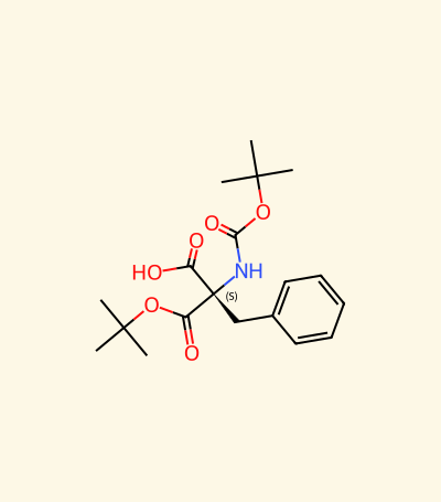 CC(C)(C)OC(=O)N[C@@](Cc1ccccc1)(C(=O)O)C(=O)OC(C)(C)C